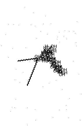 CCCCCCCCCCCCC/C=C/[C@@H](O)[C@H](CO[C@@H]1OC(CO)[C@@H](O[C@@H]2OC(CO)[C@H](O[C@@H]3OC(CO)[C@H](O)[C@H](O[C@@H]4OC(CO)[C@H](O)[C@H](O[C@@H]5OC(CO)[C@@H](O)[C@H](O[C@H]6OC(C)[C@@H](O)C(O)[C@@H]6O)C5NC(C)=O)C4O)C3NC(C)=O)[C@H](O[C@]3(C(=O)O)CC(O)[C@@H](NC(C)=O)C([C@H](O)[C@H](O)CO)O3)C2O)[C@H](O)C1O)NC(=O)CCCCCCCCCCCCCCCCCCCCC